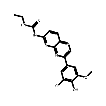 CCNC(=S)Nc1ccc2ncc(-c3cc(Cl)c(O)c(OC)c3)nc2n1